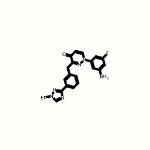 CCn1cnc(-c2cccc(Cc3nn(-c4cc(N)cc(F)c4)ccc3=O)c2)n1